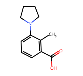 Cc1c(C(=O)O)cccc1N1CCCC1